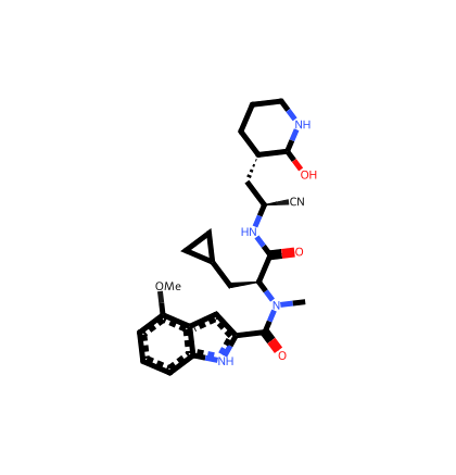 COc1cccc2[nH]c(C(=O)N(C)[C@@H](CC3CC3)C(=O)N[C@H](C#N)C[C@@H]3CCCNC3O)cc12